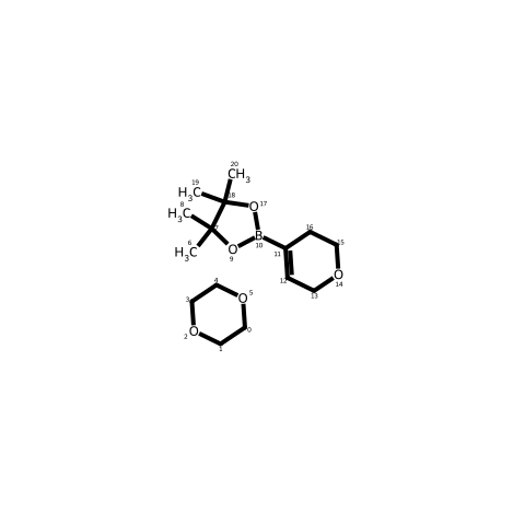 C1COCCO1.CC1(C)OB(C2=CCOCC2)OC1(C)C